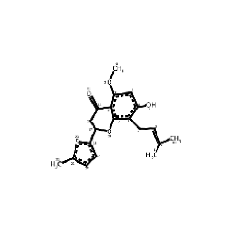 COc1cc(O)c(CC=C(C)C)c2c1C(=O)CC(c1ccc(C)s1)O2